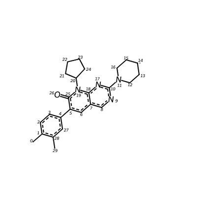 Cc1ccc(-c2cc3cnc(N4CC[CH]CC4)nc3n(C3CCCC3)c2=O)cc1C